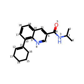 CC(C)NC(=O)c1cnc2c(C3=CCCCC3)cccc2c1